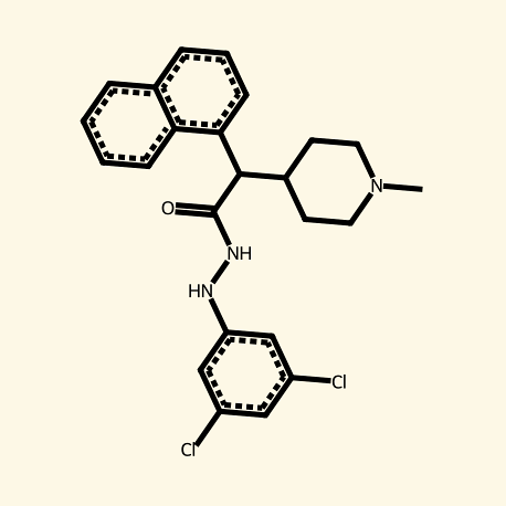 CN1CCC(C(C(=O)NNc2cc(Cl)cc(Cl)c2)c2cccc3ccccc23)CC1